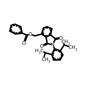 CC(C)c1cccc(C(C)C)c1N1C(=O)c2cccc(COC(=O)c3ccccc3)c2C1=O